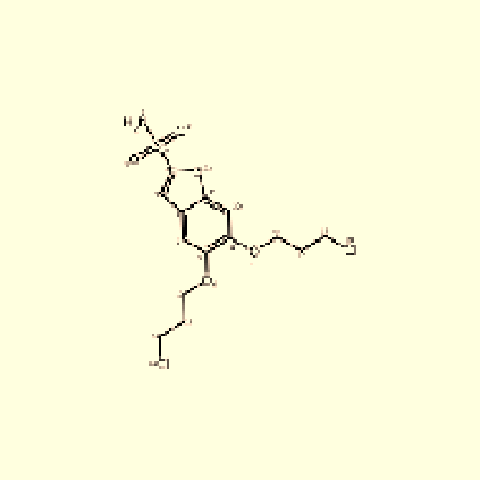 NS(=O)(=O)c1cc2cc(OCCCCl)c(OCCCCl)cc2s1